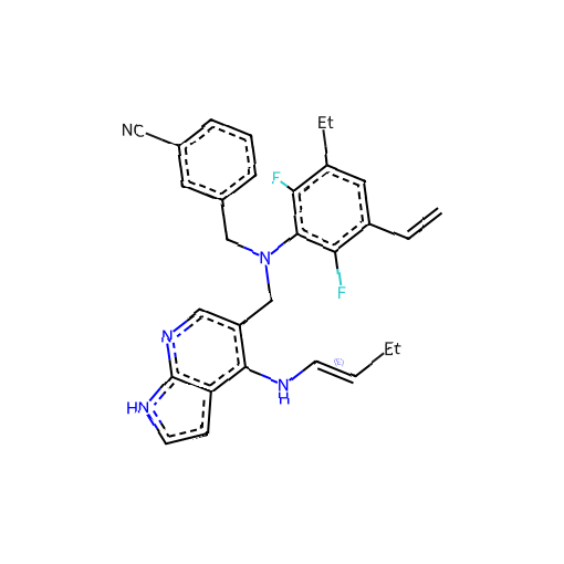 C=Cc1cc(CC)c(F)c(N(Cc2cccc(C#N)c2)Cc2cnc3[nH]ccc3c2N/C=C/CC)c1F